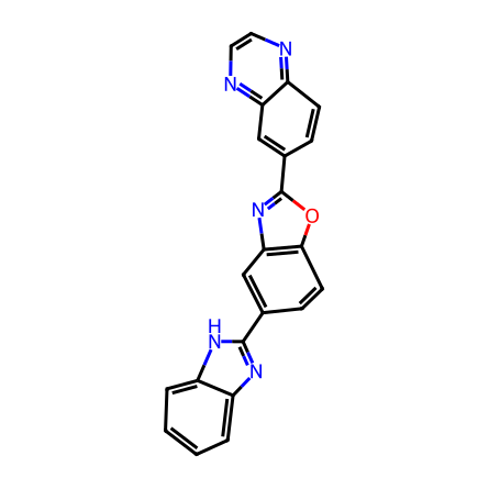 c1ccc2[nH]c(-c3ccc4oc(-c5ccc6nccnc6c5)nc4c3)nc2c1